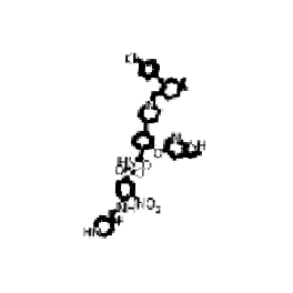 CC1(C)CCC(CN2CC=C(c3ccc(C(=O)NS(=O)(=O)c4ccc(NCC5(F)CCNCC5)c([N+](=O)[O-])c4)c(Oc4cnc5[nH]ccc5c4)c3)CC2)=C(c2ccc(Cl)cc2)C1